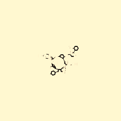 CCOC(=O)[C@H]1Cc2cc(ccc2OCc2ccnc(-c3ccccc3OC)n2)OC[C@@H](CN2CCN(C)CC2)Oc2c(Cl)cc(cc2Cl)-c2c(-c3ccc(F)cc3)sc3ncnc(c23)O1